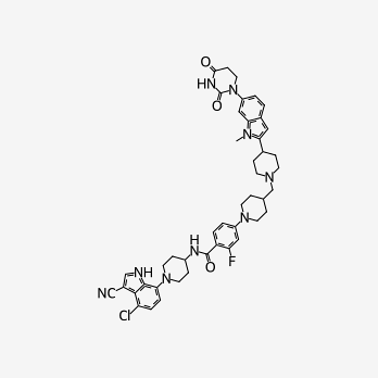 Cn1c(C2CCN(CC3CCN(c4ccc(C(=O)NC5CCN(c6ccc(Cl)c7c(C#N)c[nH]c67)CC5)c(F)c4)CC3)CC2)cc2ccc(N3CCC(=O)NC3=O)cc21